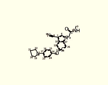 CNC(=O)Cn1cc(C#N)c2cc(Oc3ccc(N4CCCC4)cc3)ccc21